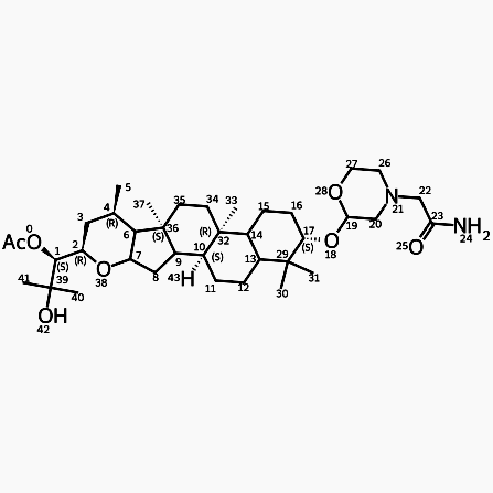 CC(=O)O[C@@H]([C@H]1C[C@@H](C)C2C(CC3[C@@H]4CCC5C(CC[C@H](OC6CN(CC(N)=O)CCO6)C5(C)C)[C@]4(C)CC[C@]23C)O1)C(C)(C)O